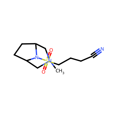 CN1CC2CCC(C1)N2S(=O)(=O)CCCC#N